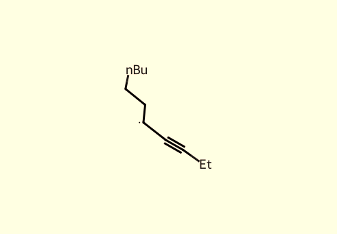 CCC#C[CH]CCCCCC